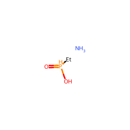 CC[PH](=O)O.N